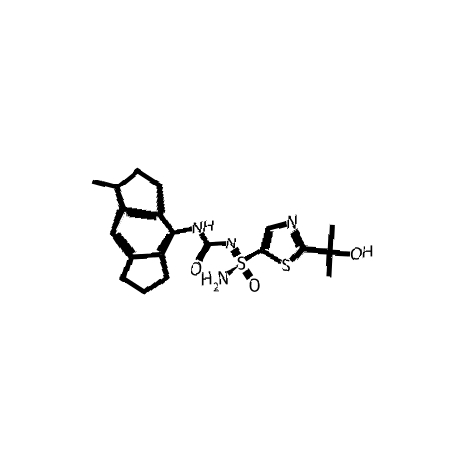 CC1CCc2c1cc1c(c2NC(=O)N=[S@@](N)(=O)c2cnc(C(C)(C)O)s2)CCC1